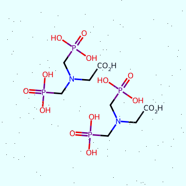 O=C(O)CN(CP(=O)(O)O)CP(=O)(O)O.O=C(O)CN(CP(=O)(O)O)CP(=O)(O)O